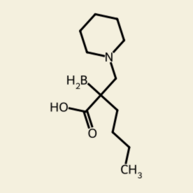 BC(CCCC)(CN1CCCCC1)C(=O)O